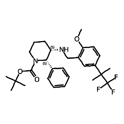 COc1ccc(C(C)(C)C(F)(F)F)cc1CN[C@H]1CCCN(C(=O)OC(C)(C)C)[C@H]1c1ccccc1